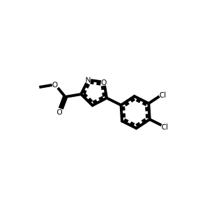 COC(=O)c1cc(-c2ccc(Cl)c(Cl)c2)on1